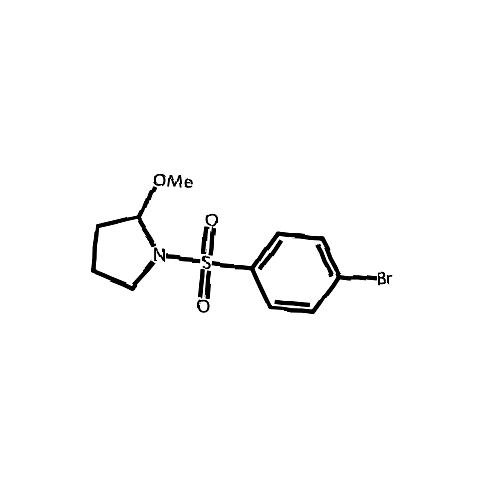 COC1CCCN1S(=O)(=O)c1ccc(Br)cc1